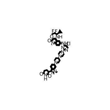 Cn1nc(C2CCC(=O)NC2=O)c2ccc(N3CCC(N4CCN(c5ncc(Cl)c(Nc6ccc7c(c6)c6c(c(=O)n7C)OCC(F)(F)C(C7CC7)N6)n5)CC4)CC3)cc21